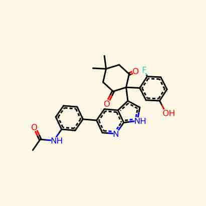 CC(=O)Nc1cccc(-c2cnc3[nH]cc(C4(c5cc(O)ccc5F)C(=O)CC(C)(C)CC4=O)c3c2)c1